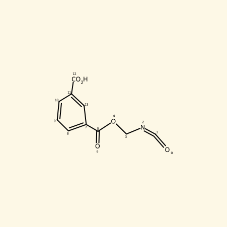 O=C=NCOC(=O)c1cccc(C(=O)O)c1